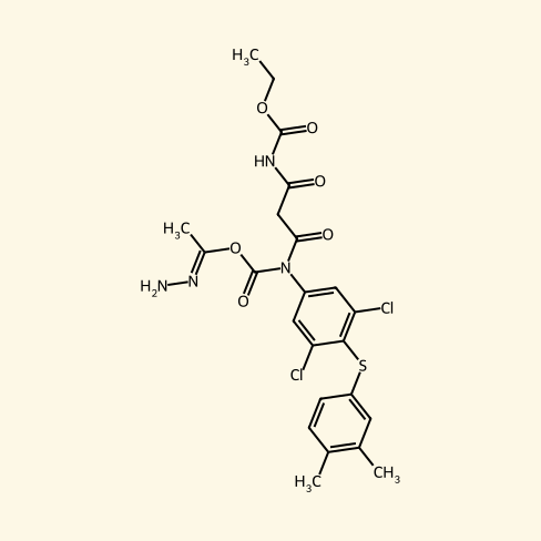 CCOC(=O)NC(=O)CC(=O)N(C(=O)OC(C)=NN)c1cc(Cl)c(Sc2ccc(C)c(C)c2)c(Cl)c1